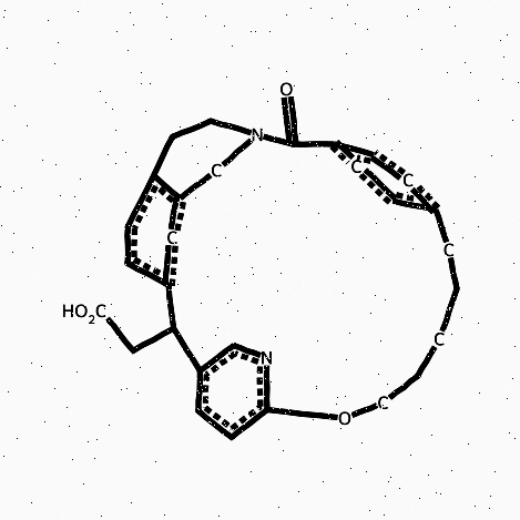 O=C(O)CC1c2ccc(nc2)OCCCCCc2ccc(cc2)C(=O)N2CCc3ccc1cc3C2